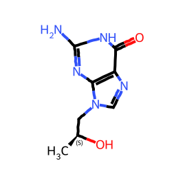 C[C@H](O)Cn1cnc2c(=O)[nH]c(N)nc21